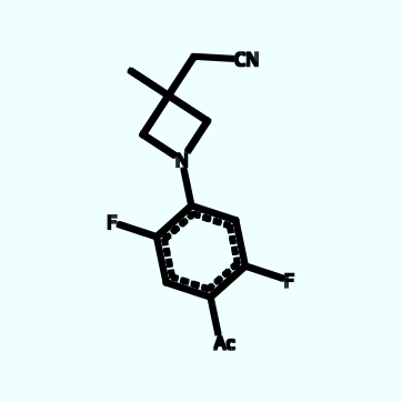 CC(=O)c1cc(F)c(N2CC(C)(CC#N)C2)cc1F